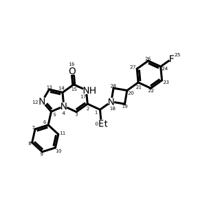 CCC(c1cn2c(-c3ccccc3)ncc2c(=O)[nH]1)N1CC(c2ccc(F)cc2)C1